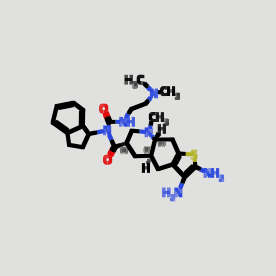 CN(C)CCNC(=O)N(C(=O)[C@@H]1C[C@@H]2Cc3c(sc(N)c3N)C[C@H]2N(C)C1)C1CCc2ccccc21